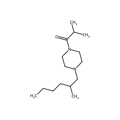 CCCCC(C)CN1CCN(C(=O)C(C)C)CC1